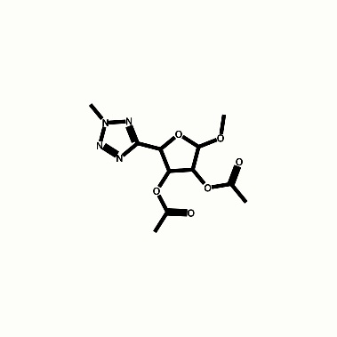 COC1OC(c2nnn(C)n2)C(OC(C)=O)C1OC(C)=O